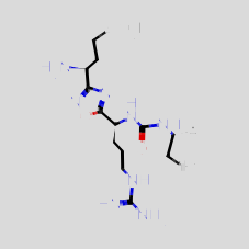 CC(=O)[C@H](CC(C)C)NC(=O)N[C@@H](CCCNC(=N)N)c1nc([C@@H](N)CCC(=O)O)no1